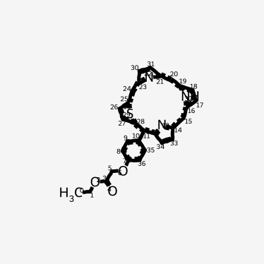 CCOC(=O)COc1ccc(-c2c3nc(cc4ccc(cc5nc(cc6ccc2s6)C=C5)[nH]4)C=C3)cc1